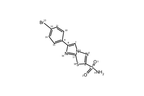 NS(=O)(=O)c1nn2cc(-c3ccc(Br)cc3)nc2s1